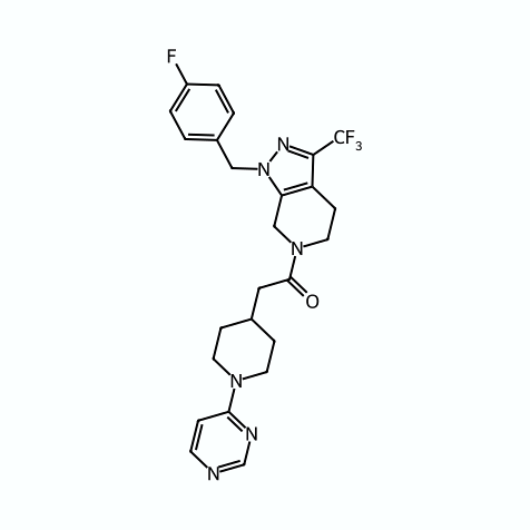 O=C(CC1CCN(c2ccncn2)CC1)N1CCc2c(C(F)(F)F)nn(Cc3ccc(F)cc3)c2C1